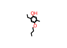 CCCCOc1cc(CC)c(O)cc1C